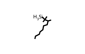 CCCCCCCC(C)C(C)(C)[SiH3]